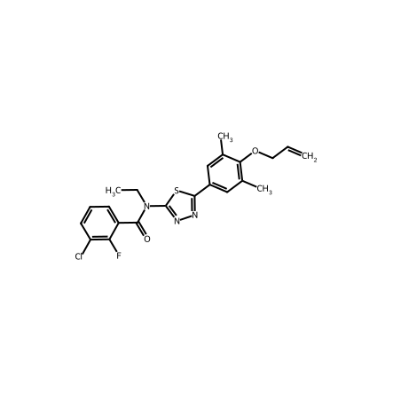 C=CCOc1c(C)cc(-c2nnc(N(CC)C(=O)c3cccc(Cl)c3F)s2)cc1C